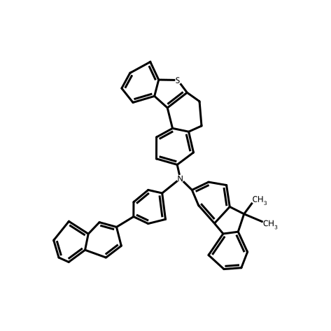 CC1(C)c2ccccc2-c2cc(N(c3ccc(-c4ccc5ccccc5c4)cc3)c3ccc4c(c3)CCc3sc5ccccc5c3-4)ccc21